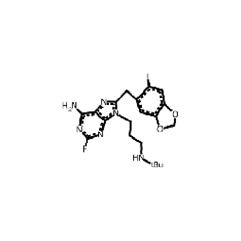 CC(C)(C)NCCCn1c(Cc2cc3c(cc2I)OCO3)nc2c(N)nc(F)nc21